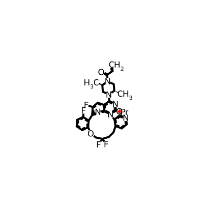 C=CC(=O)N1C[C@H](C)N(c2nc(=O)n3c4nc(c(F)cc24)-c2c(F)cccc2OCC(F)(F)CCc2ccnc(C(C)C)c2-3)C[C@H]1C